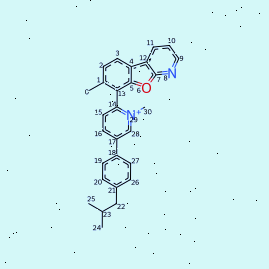 Cc1ccc2c(oc3ncccc32)c1-c1ccc(-c2ccc(CC(C)C)cc2)c[n+]1C